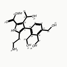 COC(=O)c1[nH]c(CCN)c(-c2ccc(CO)c(CO)c2CO)c1C(C)O